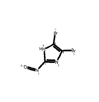 O=Nc1nc(Br)c(Br)[nH]1